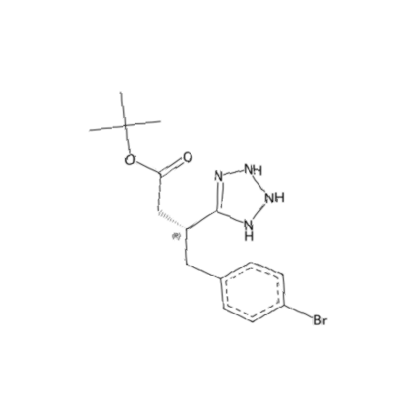 CC(C)(C)OC(=O)C[C@@H](Cc1ccc(Br)cc1)C1=NNNN1